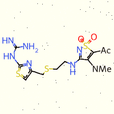 CNC1=C(C(C)=O)S(=O)(=O)N=C1NCCSCc1csc(NC(=N)N)n1